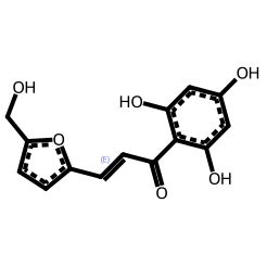 O=C(/C=C/c1ccc(CO)o1)c1c(O)cc(O)cc1O